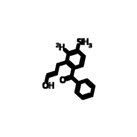 [2H]c1c([SiH3])ccc(C(=O)c2ccccc2)c1CC=CO